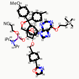 COc1ccc(C(OCC2O[C@@H](n3cnc4c(OCC[Si](C)(C)C)ncnc43)[C@H](OCc3ccc(-c4ncco4)cc3)[C@@H]2OP(OCCC#N)N(C(C)C)C(C)C)(c2ccccc2)c2ccc(C)cc2)cc1